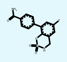 NC(=O)c1ccc(-c2cc(F)cc3c2OS(=O)(=O)NC3)cc1